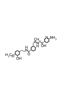 COc1ccc(CCNC(=O)c2cccc(C[C@@H](C)NC[C@@H](O)c3ccc(N)nc3)c2)cc1O